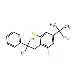 CC(C)(C)c1cc(F)c(CC(C)(C)c2ccccc2)c(F)c1